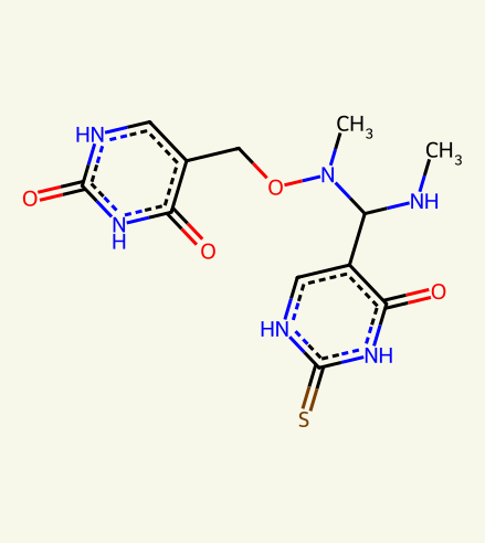 CNC(c1c[nH]c(=S)[nH]c1=O)N(C)OCc1c[nH]c(=O)[nH]c1=O